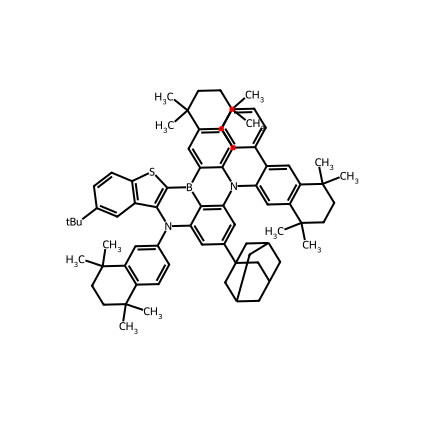 CC(C)(C)c1ccc2sc3c(c2c1)N(c1ccc2c(c1)C(C)(C)CCC2(C)C)c1cc(C24CC5CC(CC(C5)C2)C4)cc2c1B3c1cc3c(cc1N2c1cc2c(cc1-c1ccccc1)C(C)(C)CCC2(C)C)C(C)(C)CCC3(C)C